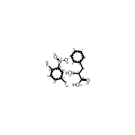 NC(Cc1ccccc1)C(=O)O.O=[N+]([O-])c1cc(F)ccc1F